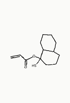 C=CC(=O)OC1(S)CCCC2CCCCC21